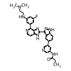 CCC(=O)Nc1cncc(-c2ccc3[nH]nc(-c4nc5c(-c6cc(F)cc(NCCN(C)C)c6)nccc5[nH]4)c3c2)c1